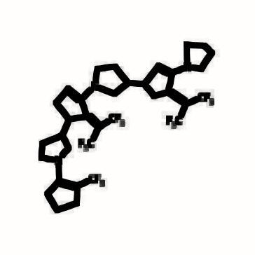 FC(F)(F)C1=C(N2CCC(C3CC=C(N4CCC(C5C=C(N6CCCC6)C(=C(C(F)(F)F)C(F)(F)F)C5)C4)C3=C(C(F)(F)F)C(F)(F)F)C2)CCC1